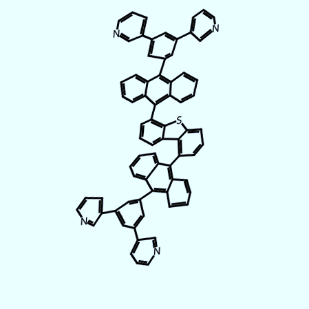 c1cncc(-c2cc(-c3cccnc3)cc(-c3c4ccccc4c(-c4cccc5c4sc4cccc(-c6c7ccccc7c(-c7cc(-c8cccnc8)cc(-c8cccnc8)c7)c7ccccc67)c45)c4ccccc34)c2)c1